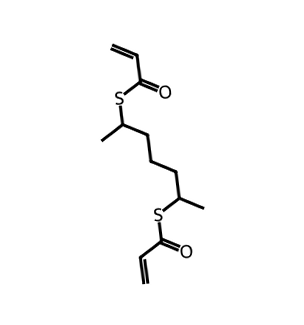 C=CC(=O)SC(C)CCCC(C)SC(=O)C=C